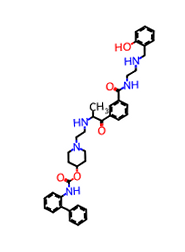 CC(NCCN1CCC(OC(=O)Nc2ccccc2-c2ccccc2)CC1)C(=O)c1cccc(C(=O)NCCNCc2ccccc2O)c1